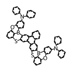 c1ccc(N(c2ccccc2)c2ccc3c(c2)Oc2cccc4c2B3c2cc3c5ccccc5c5cc6c(cc5c3cc2S4)Sc2cccc3c2B6c2ccc(N(c4ccccc4)c4ccccc4)cc2O3)cc1